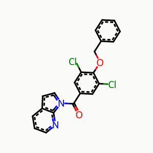 O=C(c1cc(Cl)c(OCc2ccccc2)c(Cl)c1)n1ccc2cccnc21